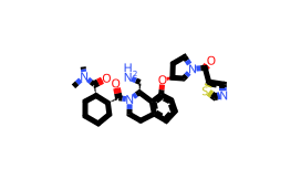 CN(C)C(=O)[C@H]1CCCC[C@H]1C(=O)N1CCc2cccc(O[C@H]3CCN(C(=O)c4cncs4)C3)c2[C@H]1CN